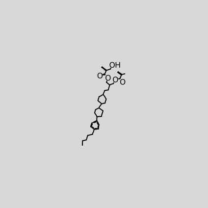 C=C(C)C(=O)OCC(CCC1CCC(C2CCC(c3ccc(CCCCC)cc3)CC2)CC1)COC(=O)C(=C)CO